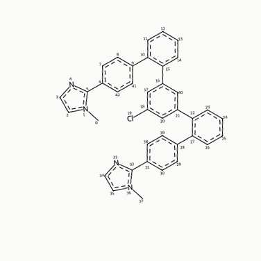 Cn1ccnc1-c1ccc(-c2ccccc2-c2cc(Cl)cc(-c3ccccc3-c3ccc(-c4nccn4C)cc3)c2)cc1